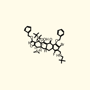 CN(C)[C@@H]1c2onc(OCc3ccccc3)c2C(=O)[C@@]2(O[Si](C)(C)C(C)(C)C)C(O)=C3C(=O)c4c(c(F)c(CNCC(C)(C)C)c(Br)c4OCc4ccccc4)C[C@H]3C[C@@H]12